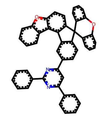 c1ccc(-c2cc(-c3ccc4c(c3)-c3c(ccc5oc6ccccc6c35)C43c4ccccc4Oc4ccccc43)nc(-c3ccccc3)n2)cc1